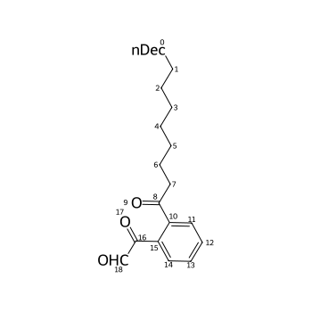 CCCCCCCCCCCCCCCCCC(=O)c1ccccc1C(=O)C=O